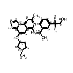 Cc1nc(N[C@H](C)c2cccc(C(F)(F)CO)c2)c2cc(O[C@H]3CCN(C)C3)c3nncn3c2n1